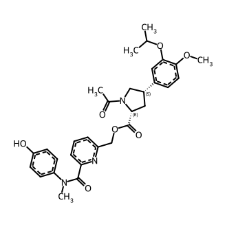 COc1ccc([C@@H]2C[C@H](C(=O)OCc3cccc(C(=O)N(C)c4ccc(O)cc4)n3)N(C(C)=O)C2)cc1OC(C)C